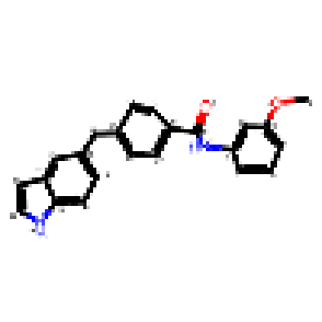 COc1cccc(NC(=O)c2ccc(Cc3ccc4[nH]ccc4c3)cc2)c1